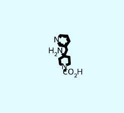 NC1(Cc2cccnc2)CCN(C(=O)O)CC1